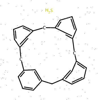 S.c1cc2cc(c1)Cc1cccc(c1)Cc1cccc(c1)Cc1cccc(c1)C2